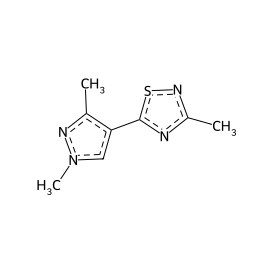 Cc1nsc(-c2cn(C)nc2C)n1